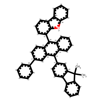 CC1(C)c2ccccc2-c2ccc(-c3c4ccccc4c(-c4cccc5c4oc4ccccc45)c4ccc(-c5ccccc5)cc34)cc21